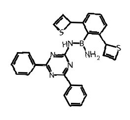 NB(Nc1nc(-c2ccccc2)nc(-c2ccccc2)n1)c1c(C2C=CS2)cccc1C1C=CS1